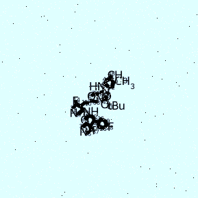 Cc1cc2nc([C@@H]3CO[C@H](CCc4c(F)cncc4NC(=O)CC(c4ccc(F)cc4)c4ccncc4F)CN3C(=O)OC(C)(C)C)[nH]c2cc1C